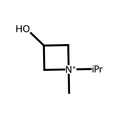 CC(C)[N+]1(C)CC(O)C1